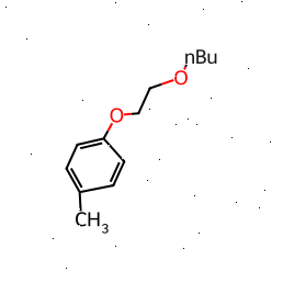 CCCCOCCOc1ccc(C)cc1